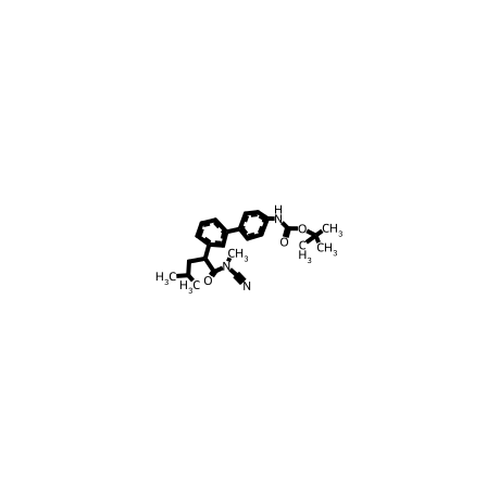 CC(C)CC(C(=O)N(C)C#N)c1cccc(-c2ccc(NC(=O)OC(C)(C)C)cc2)c1